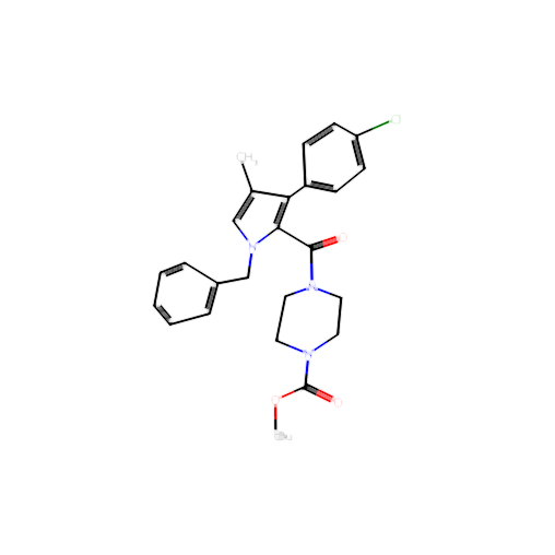 Cc1cn(Cc2ccccc2)c(C(=O)N2CCN(C(=O)OC(C)(C)C)CC2)c1-c1ccc(Cl)cc1